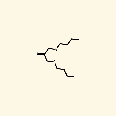 C=C(CSCCCC)CSCCCC